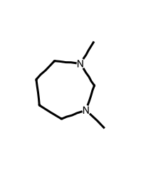 CN1CCCCN(C)C1